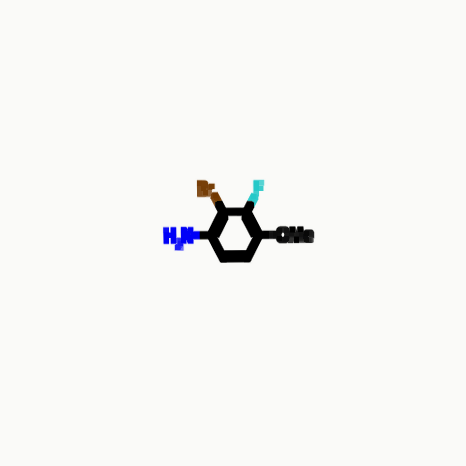 COc1ccc(N)c(Br)c1F